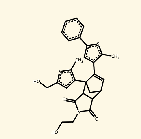 Cc1sc(-c2ccccc2)cc1C1=CC2CC1(c1cc(CO)sc1C)C1C(=O)N(CCO)C(=O)C21